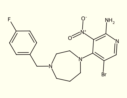 Nc1ncc(Br)c(N2CCCN(Cc3ccc(F)cc3)CC2)c1[N+](=O)[O-]